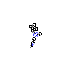 Cc1nc(C(C)(C)C)ccc1-c1ccc(-c2nc(-c3ccccc3)nc(-c3ccc4c(c3)C3(c5ccccc5-c5ccccc53)c3ccccc3-4)n2)cc1